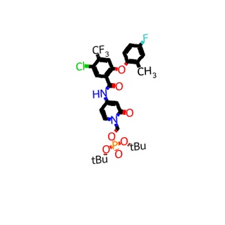 Cc1cc(F)ccc1Oc1cc(C(F)(F)F)c(Cl)cc1C(=O)Nc1ccn(COP(=O)(OC(C)(C)C)OC(C)(C)C)c(=O)c1